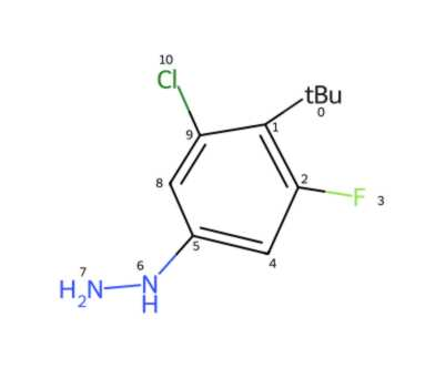 CC(C)(C)c1c(F)cc(NN)cc1Cl